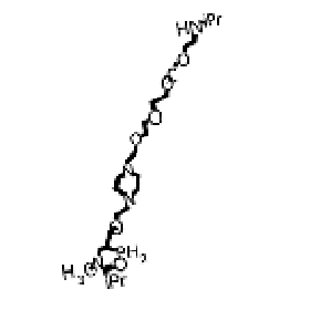 CC(C)NCCOCCOCCOCCOCCN1CCN(CCOCC(P)CN(C)C(=O)C(C)C)CC1